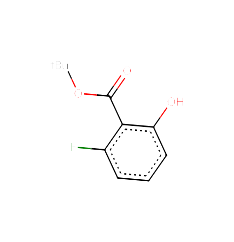 CC(C)(C)OC(=O)c1c(O)cccc1F